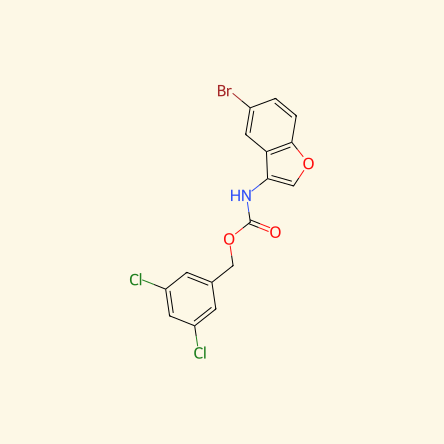 O=C(Nc1coc2ccc(Br)cc12)OCc1cc(Cl)cc(Cl)c1